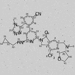 CN(Cc1cc2c(c(C(F)(F)F)c1)CN(c1cc(-c3cc(C#N)ccc3-c3nncn3C)cc(NCCC3CC3)n1)C2=O)[C@@H]1CCOC1